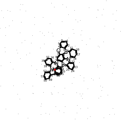 c1ccc2c(c1)Oc1cc3c4c5c1B2c1ccccc1N5c1ccccc1B4c1ccccc1N3c1ccccc1-n1c2ccccc2c2ccccc21